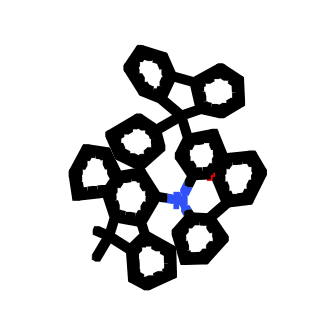 CC1(C)c2ccccc2-c2c(N(c3cccc(C4(c5ccccc5)c5ccccc5-c5ccccc54)c3)c3ccccc3-c3ccccc3)cc3ccccc3c21